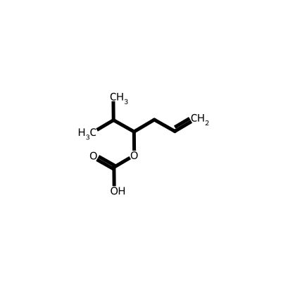 C=CCC(OC(=O)O)C(C)C